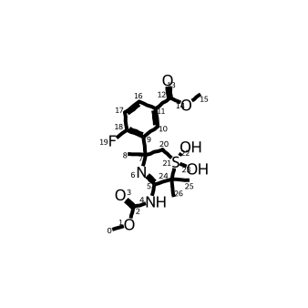 COC(=O)NC1=NC(C)(c2cc(C(=O)OC)ccc2F)CS(O)(O)C1(C)C